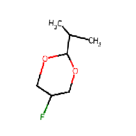 CC(C)C1OCC(F)CO1